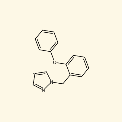 [c]1cnn(Cc2ccccc2Oc2ccccc2)c1